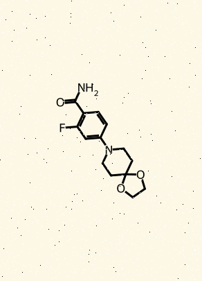 NC(=O)c1ccc(N2CCC3(CC2)OCCO3)cc1F